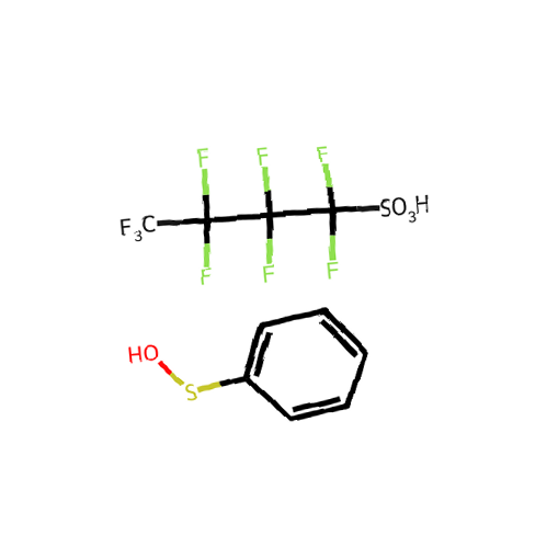 O=S(=O)(O)C(F)(F)C(F)(F)C(F)(F)C(F)(F)F.OSc1ccccc1